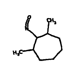 CC1CCCCC(C)C1N=O